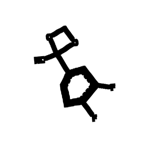 N#CC1(c2ccc(F)c(F)c2)OCO1